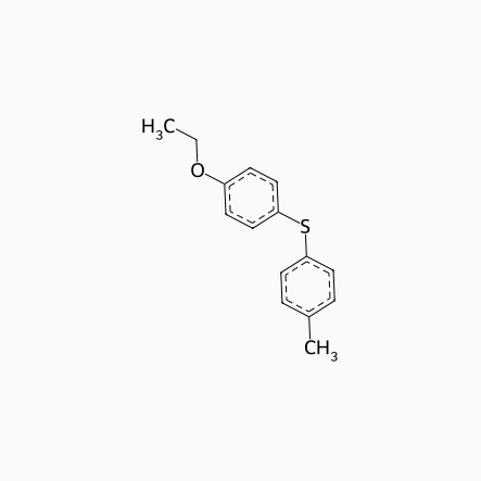 CCOc1ccc(Sc2ccc(C)cc2)cc1